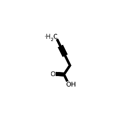 [CH2]C#CCC(=O)O